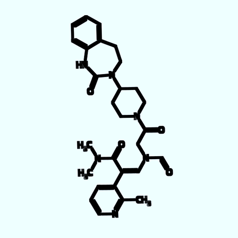 Cc1ncccc1/C(=C/N(C=O)CC(=O)N1CCC(N2CCc3ccccc3NC2=O)CC1)C(=O)N(C)C